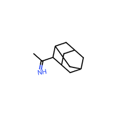 CC(=N)C1C2CC3CC(C2)CC1C3